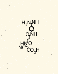 N#CC(CC(=O)O)NC(=O)CCC(=O)Nc1ccc(C(=N)N)cc1